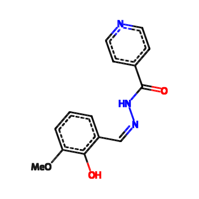 COc1cccc(/C=N\NC(=O)c2ccncc2)c1O